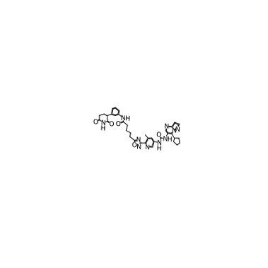 Cc1cc(NC(=O)Nc2cnc3ccnn3c2C2CCCC2)cnc1-c1noc(CCCCC(=O)Nc2cccc(C3CCC(=O)NC3=O)c2)n1